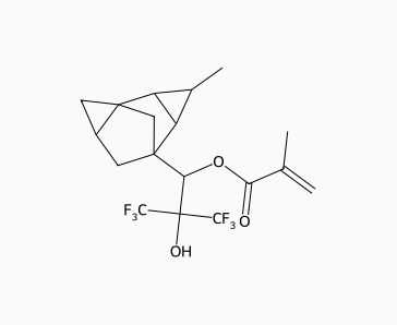 C=C(C)C(=O)OC(C12CC3CC3(C1)C1C(C)C12)C(O)(C(F)(F)F)C(F)(F)F